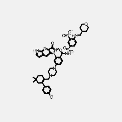 Cn1c(=O)c2nc3[nH]ccc3cc2n1-c1cc(N2CCN(CC3=C(c4ccc(Cl)cc4)CC(C)(C)CC3)CC2)ccc1C(=O)NS(=O)(=O)c1ccc(NCC2CCOCC2)c([N+](=O)[O-])c1